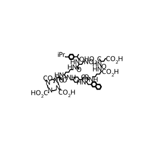 CC(C)Cc1ccc(C(C)C(=O)NC(CCN=O)C(=O)NCCCCC(NC(=O)CN2CCN(CC(=O)O)CCN(CC(=O)O)CCN(CC(=O)O)CC2)C(=O)NCC2CCC(C(=O)NC(Cc3ccc4ccccc4c3)C(=O)NCCCCC(NC(=O)NC(CCC(=O)O)C(=O)O)C(=O)O)CC2)cc1